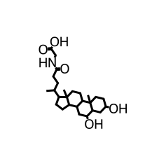 CC(CCC(=O)NCC(=O)O)C1CCC2C3CC(O)C4CC(O)CCC4(C)C3CCC12C